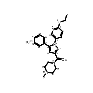 CCOc1ccc(-n2nc(C(=O)N3CCN(C)CC3)cc2-c2ccccc2)cn1.Cl